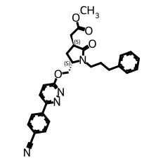 COC(=O)C[C@@H]1C[C@@H](COc2ccc(-c3ccc(C#N)cc3)nn2)N(CCCc2ccccc2)C1=O